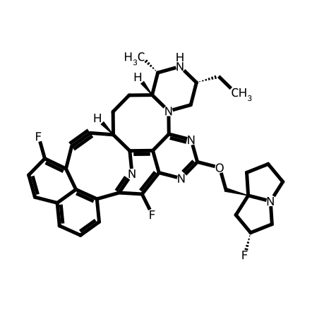 CC[C@@H]1CN2c3nc(OC[C@@]45CCCN4C[C@H](F)C5)nc4c(F)c5nc(c34)[C@H](C#Cc3c(F)ccc4cccc-5c34)CC[C@@H]2[C@H](C)N1